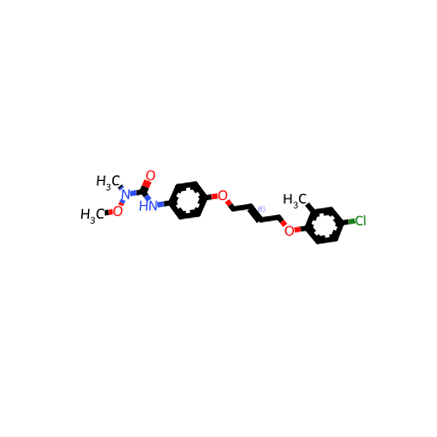 CON(C)C(=O)Nc1ccc(OC/C=C/COc2ccc(Cl)cc2C)cc1